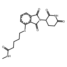 CNC(=O)CCCCSc1cccc2c1C(=O)N(C1CCC(=O)NC1=O)C2=O